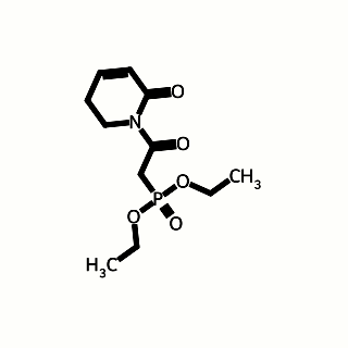 CCOP(=O)(CC(=O)N1CCC=CC1=O)OCC